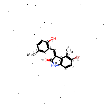 COc1ccc(O)c(C=C2C(=O)Nc3ccc(Br)c(C)c32)c1